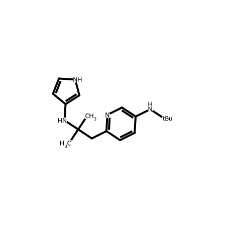 CC(C)(C)Nc1ccc(CC(C)(C)Nc2cc[nH]c2)nc1